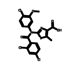 COc1cc(N(C(=O)c2ccc(Cl)cc2Cl)c2nc(C(=O)O)c(C)s2)ccc1Cl